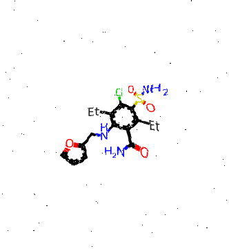 CCc1c(Cl)c(S(N)(=O)=O)c(CC)c(C(N)=O)c1NCc1ccco1